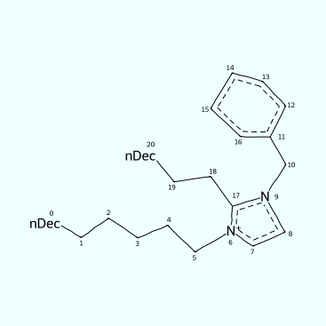 CCCCCCCCCCCCCCC[n+]1ccn(Cc2ccccc2)c1CCCCCCCCCCCC